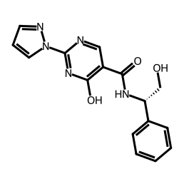 O=C(N[C@H](CO)c1ccccc1)c1cnc(-n2cccn2)nc1O